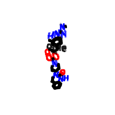 COC(=O)[C@@H](Cc1cc(C)c2[nH]c(N(C)C)nc2c1)OC(=O)N1CCC(N2CCc3ccccc3NC2=O)CC1